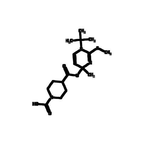 CSC1=NC(C)(OC(=O)C2CCN(C(=O)O)CC2)C=CN1C(C)(C)C